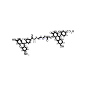 N=c1ccc2c(-c3ccc(C(=O)NC/C=C/C=C/C(=O)NCc4c5oc6cc(O)ccc6c(-c6ccc(C(=O)O)cc6C(=O)O)c-5ccc4=O)cc3C(=O)O)c3ccc(N)cc3oc-2c1